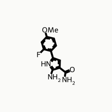 COc1ccc(-c2cc(C(N)=O)c(N)[nH]2)c(F)c1